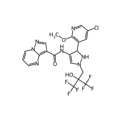 COc1ncc(Cl)cc1C1NN(CC(O)(C(F)(F)F)C(F)(F)F)C=C1NC(=O)c1cnn2cccnc12